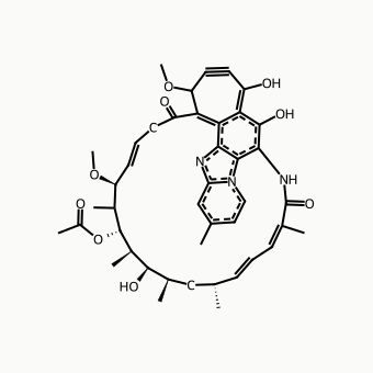 COC1C#CC(O)=c2c(O)c3c4c(nc5cc(C)ccn54)c2=C1C(=O)C/C=C/[C@H](OC)C(C)[C@@H](OC(C)=O)[C@H](C)[C@H](O)[C@H](C)C[C@@H](C)/C=C/C=C(/C)C(=O)N3